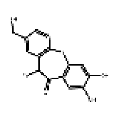 CCC1C(=O)c2cc(O)c(O)cc2Sc2ccc(CS)cc21